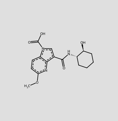 COc1ccc2c(n1)c(C(=O)N[C@H]1CCCC[C@@H]1O)cn2C(=O)O